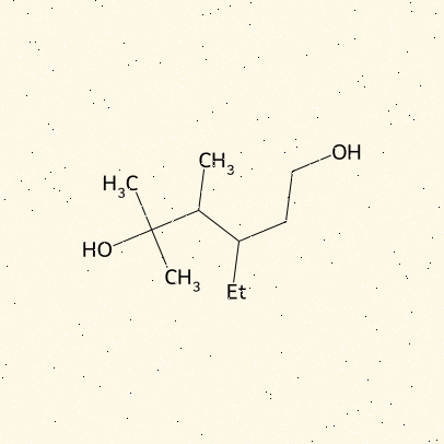 CCC(CCO)C(C)C(C)(C)O